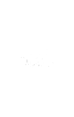 O=C(O)CC(=CC1CCCC2CCCCC12)C(=O)O